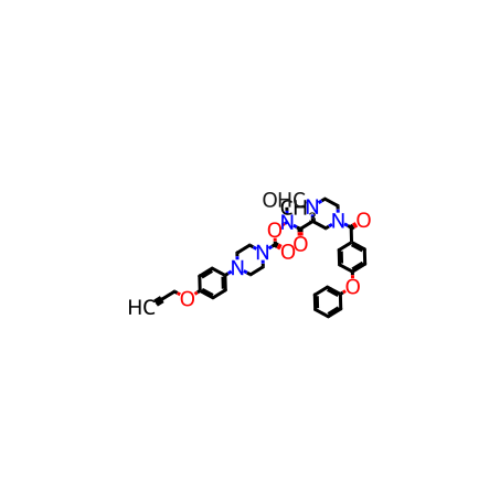 C#CCOc1ccc(N2CCN(C(=O)ON(C)C(=O)C3CN(C(=O)c4ccc(Oc5ccccc5)cc4)CCN3C=O)CC2)cc1